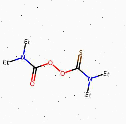 CCN(CC)C(=O)OOC(=S)N(CC)CC